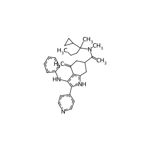 C=C1CC(C(=C)N(C)C(C)(CCC)C2CC2)Cc2[nH]c(-c3ccncc3)c(Nc3ccccc3)c21